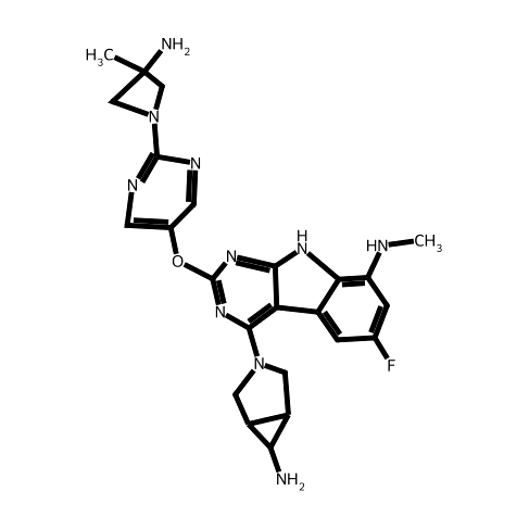 CNc1cc(F)cc2c1[nH]c1nc(Oc3cnc(N4CC(C)(N)C4)nc3)nc(N3CC4C(N)C4C3)c12